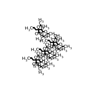 C=CCC(OC(C)C)(C(=O)[O-])C(=O)C(OC(C)C)OC(C)C.C=CCC(OC(C)C)(C(=O)[O-])C(=O)C(OC(C)C)OC(C)C.C=CCC(OC(C)C)(C(=O)[O-])C(=O)C(OC(C)C)OC(C)C.C=CCC(OC(C)C)(C(=O)[O-])C(=O)C(OC(C)C)OC(C)C.[Ti+4]